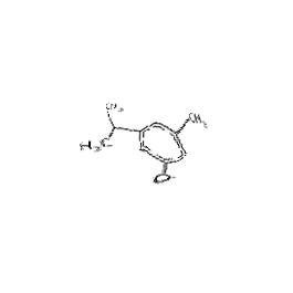 Cc1cc([O])cc(C(C)C)c1